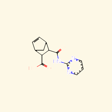 O=C(O)C1C2C=CC(C2)C1C(=O)Nc1ncccn1